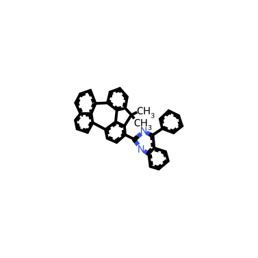 CC1(C)c2cccc3c2-c2c(ccc(-c4nc(-c5ccccc5)c5ccccc5n4)c21)-c1cccc2cccc-3c12